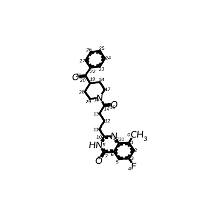 Cc1cc(F)cc2c(=O)[nH]c(CCCC(=O)N3CCC(C(=O)c4ccccc4)CC3)nc12